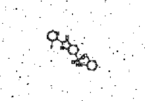 O=S(=O)(Nc1ccccc1Cl)c1ccc2[nH]c(-c3ncccc3F)nc2c1